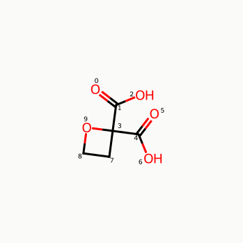 O=C(O)C1(C(=O)O)CCO1